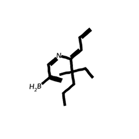 BC(=C)/C=N\C(=C/C=C)C(C)(CC)CCC